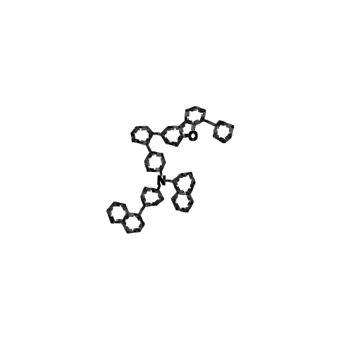 c1ccc(-c2cccc3c2oc2ccc(-c4ccccc4-c4ccc(N(c5ccc(-c6cccc7ccccc67)cc5)c5cccc6ccccc56)cc4)cc23)cc1